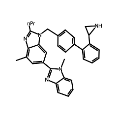 CCCc1nc2c(C)cc(-c3nc4ccccc4n3C)cc2n1Cc1ccc(-c2ccccc2C2CN2)cc1